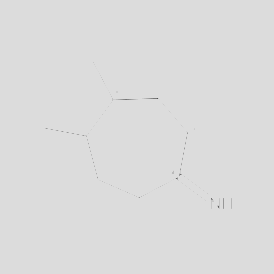 CC1CCC(=N)CCC1C